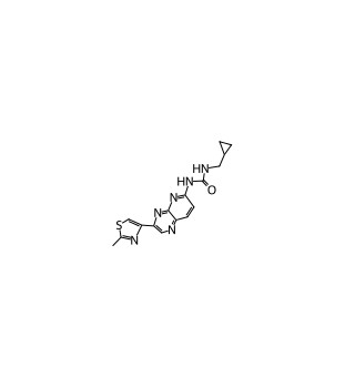 Cc1nc(-c2cnc3ccc(NC(=O)NCC4CC4)nc3n2)cs1